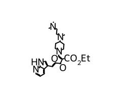 CCOC(=O)C1=C(N2CCC(N(C)CCN(C)C)CC2)O/C(=C\c2c[nH]c3ncccc23)C1=O